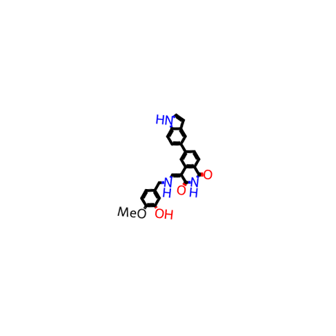 COc1ccc(CNC=C2C(=O)NC(=O)c3ccc(-c4ccc5[nH]ccc5c4)cc32)cc1O